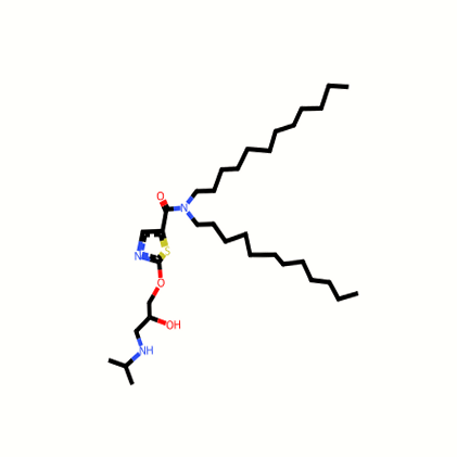 CCCCCCCCCCCCN(CCCCCCCCCCCC)C(=O)c1cnc(OCC(O)CNC(C)C)s1